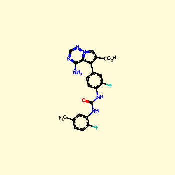 Nc1ncnn2cc(C(=O)O)c(-c3ccc(NC(=O)Nc4cc(C(F)(F)F)ccc4F)c(F)c3)c12